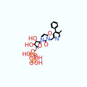 Cc1cnc(Cn2c(=O)ccn([C@@H]3O[C@H](COP(=O)(O)OP(=O)(O)O)C(O)C3O)c2=O)cc1-c1ccccc1